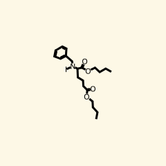 CCCCOC(=O)CCCC(C(=O)OCCCC)N(I)Cc1ccccc1